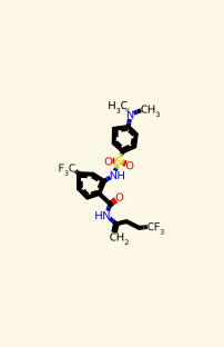 C=C(CCC(F)(F)F)NC(=O)c1ccc(C(F)(F)F)cc1NS(=O)(=O)c1ccc(N(C)C)cc1